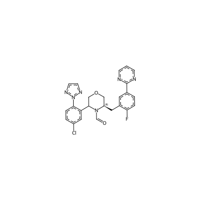 O=CN1C(c2cc(Cl)ccc2-n2nccn2)COC[C@H]1Cc1cc(-c2ncccn2)ccc1F